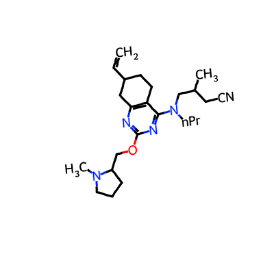 C=CC1CCc2c(nc(OCC3CCCN3C)nc2N(CCC)CC(C)CC#N)C1